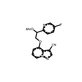 COC(COc1cccn2ncc(C#N)c12)c1ccc(F)cn1